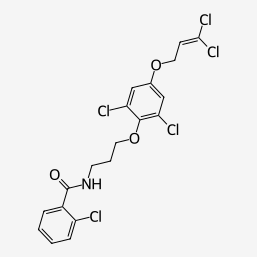 O=C(NCCCOc1c(Cl)cc(OCC=C(Cl)Cl)cc1Cl)c1ccccc1Cl